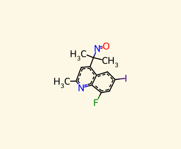 Cc1cc(C(C)(C)N=O)c2cc(I)cc(F)c2n1